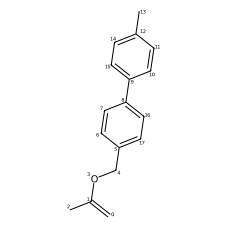 C=C(C)OCc1ccc(-c2ccc(C)cc2)cc1